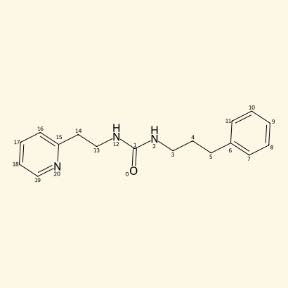 O=C(NCCCc1ccccc1)NCCc1ccccn1